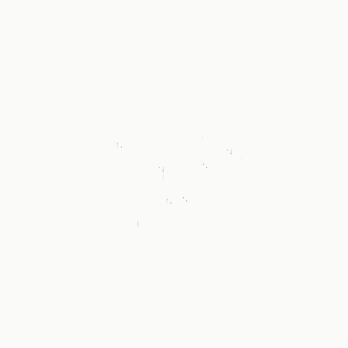 Cc1ccn(C2CN(C(N)=O)C2CNc2cc(C(F)(F)F)nc3ccc(Cl)cc23)n1